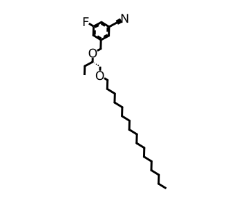 CCCCCCCCCCCCCCCCCOC[C@H](CC)OCc1cc(F)cc(C#N)c1